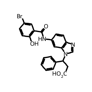 O=C(O)CC(c1ccccc1)n1cnc2ccc(NC(=O)c3cc(Br)ccc3O)cc21